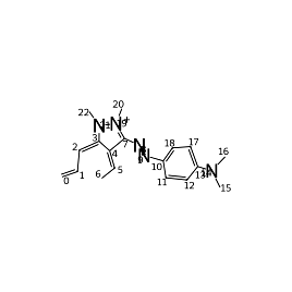 C=C/C=c1\c(=C/C)c(N=Nc2ccc(N(C)C)cc2)[n+](C)n1C